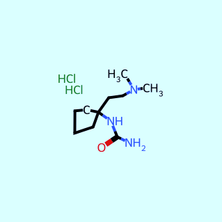 CN(C)CCC1(NC(N)=O)CCCC1.Cl.Cl